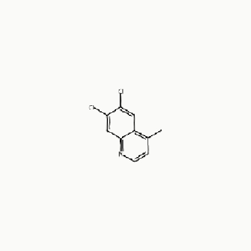 Cc1ccnc2cc(Cl)c(Cl)cc12